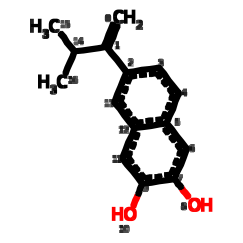 C=C(c1ccc2cc(O)c(O)cc2c1)C(C)C